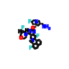 C#Cc1c(F)ccc2cccc(-c3ncc4c(N5CCOC[C@H]6[C@H](F)[C@H]65)nc(OC[C@]56C[C@@H](F)CN5C[C@@H](CN)C6)nc4c3F)c12